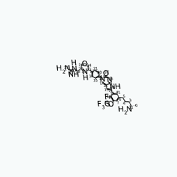 C[C@H](N)CCCc1cc(OC(F)(F)F)c(F)c(-c2cc3cn(-c4ccc([C@@H]5COC[C@@H](CNC(=N)N)N5)cc4)c(=O)nc3[nH]2)c1